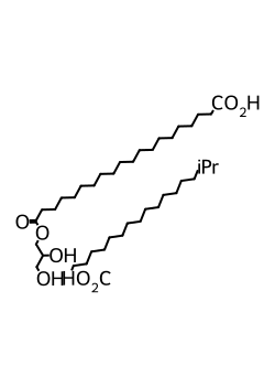 CC(C)CCCCCCCCCCCCCCC(=O)O.O=C(O)CCCCCCCCCCCCCCCCCCC(=O)OCC(O)CO